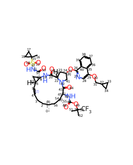 C[C@@H]1CC/C=C\[C@@H]2C[C@@]2(C(=O)NS(=O)(=O)C2(C)CC2)NC(=O)[C@@H]2C[C@@H](Oc3ncc(OCC4CC4)c4ccccc34)CN2C(=O)[C@@H](NC(=O)OC(C)(C)C(F)(F)F)[C@H](C)C1